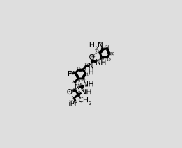 CC(C)CC1(C)NC(=N)N(Cc2ccc(CNC(=O)Nc3cccc(N)c3)cc2F)C1=O